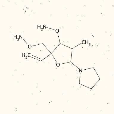 C=CC1(CON)OC(N2CCCC2)C(C)C1ON